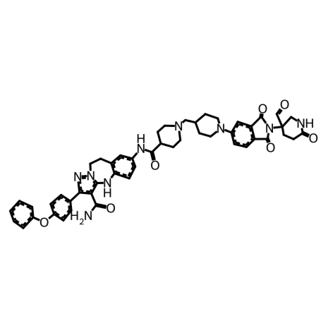 NC(=O)c1c(-c2ccc(Oc3ccccc3)cc2)nn2c1Nc1ccc(NC(=O)C3CCN(CC4CCN(c5ccc6c(c5)C(=O)N(C5(C=O)CCC(=O)NC5)C6=O)CC4)CC3)cc1CC2